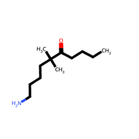 CCCCC(=O)C(C)(C)CCCCN